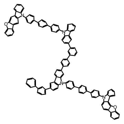 c1ccc(-c2cccc(-c3ccc4c(c3)c3ccc(-c5ccc(-c6cccc(-c7ccc8c(c7)c7ccccc7n8-c7ccc(-c8ccc(-c9ccc(-n%10c%11ccccc%11c%11cc%12oc%13ccccc%13c%12cc%11%10)cc9)cc8)cc7)c6)cc5)cc3n4-c3ccc(-c4ccc(-c5ccc(-n6c7ccccc7c7c8oc9ccccc9c8ccc76)cc5)cc4)cc3)c2)cc1